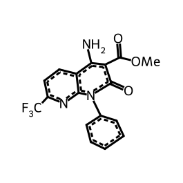 COC(=O)c1c(N)c2ccc(C(F)(F)F)nc2n(-c2ccccc2)c1=O